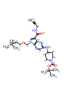 C#CCNC(=O)c1cn(COCC[Si](C)(C)C)c2ncc(NC3CCN(C(=O)OC(C)(C)C)CC3)nc12